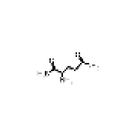 BC(=O)C(N)CCC(N)=O